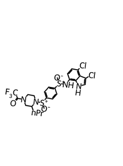 CCCC1CN(C(=O)C(F)(F)F)CCN1[S+]([O-])c1ccc([S+]([O-])Nc2ccc(Cl)c3c(Cl)c[nH]c23)cc1